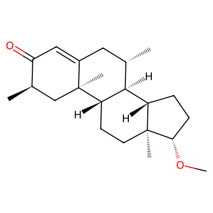 CO[C@H]1CC[C@H]2[C@@H]3[C@@H](C)CC4=CC(=O)[C@H](C)C[C@]4(C)[C@H]3CC[C@]12C